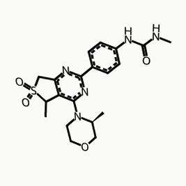 CNC(=O)Nc1ccc(-c2nc3c(c(N4CCOC[C@@H]4C)n2)C(C)S(=O)(=O)C3)cc1